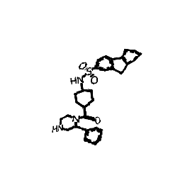 O=C(C1CCC(NS(=O)(=O)c2ccc3c(c2)Cc2ccccc2-3)CC1)N1CCNCC1c1ccccc1